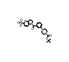 CC(C)(C)OC(=O)N1CCN(c2cccc(C(=O)N3CCc4nc(S(=O)(=O)Cl)ccc43)c2)CC1